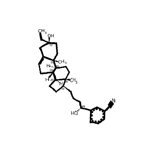 CC[C@]1(O)CC[C@@]2(C)C(=CC[C@H]3[C@@H]4CC[C@H](CCC[C@@H](O)c5cccc(C#N)c5)[C@@]4(C)CC[C@@H]32)C1